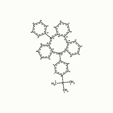 CC(C)(C)c1ccc(-n2c3ccccc3c3ccccc3n(-c3ccccc3)c3ccccc32)cc1